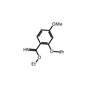 CCOC(=N)c1ccc(OC)cc1OC(C)C